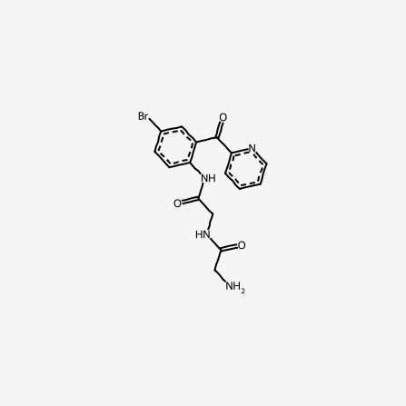 NCC(=O)NCC(=O)Nc1ccc(Br)cc1C(=O)c1ccccn1